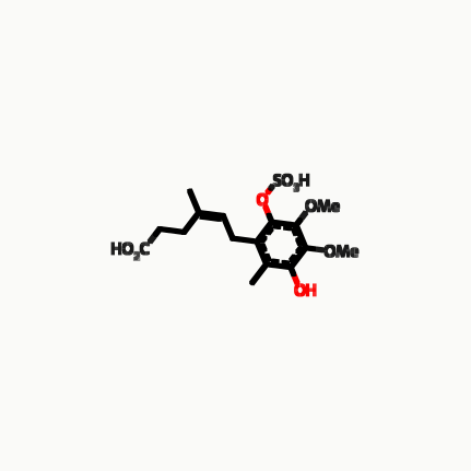 COc1c(O)c(C)c(CC=C(C)CCC(=O)O)c(OS(=O)(=O)O)c1OC